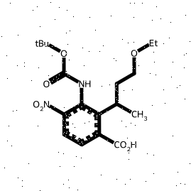 CCOCCC(C)c1c(C(=O)O)ccc([N+](=O)[O-])c1NC(=O)OC(C)(C)C